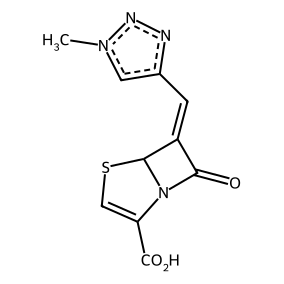 Cn1cc(/C=C2/C(=O)N3C(C(=O)O)=CSC23)nn1